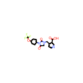 O=C(O)c1cnccc1CN1CC(=O)N(c2ccc(OC(F)(F)F)cc2)C1=O